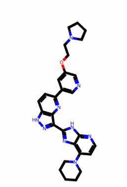 c1cc(N2CCCCC2)c2nc(-c3n[nH]c4ccc(-c5cncc(OCCN6CCCC6)c5)nc34)[nH]c2n1